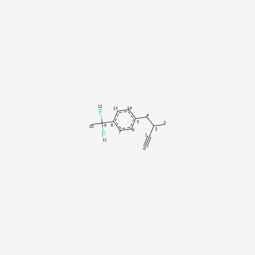 C#CC(C)Cc1ccc(C(C)(F)F)cc1